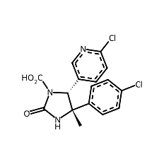 C[C@@]1(c2ccc(Cl)cc2)NC(=O)N(C(=O)O)[C@@H]1c1ccc(Cl)nc1